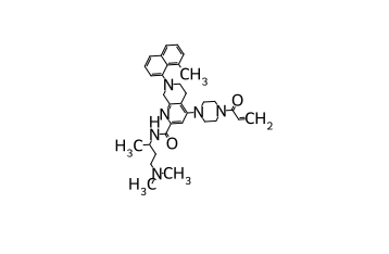 C=CC(=O)N1CCN(c2cc(C(=O)NC(C)CCN(C)C)nc3c2CCN(c2cccc4cccc(C)c24)C3)CC1